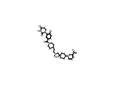 CN(CCC1CCN(C(=O)c2ccc(Cl)c(N3CCC(=O)NC3=O)c2)CC1)CC1(O)CCC(N2C=CC=C(C(F)F)C2)CC1